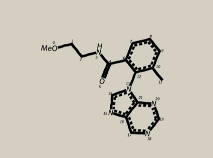 COCCNC(=O)c1cccc(C)c1-n1cnc2cncnc21